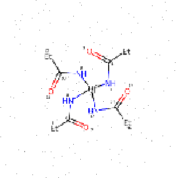 CCC(=O)[NH][Hf]([NH]C(=O)CC)([NH]C(=O)CC)[NH]C(=O)CC